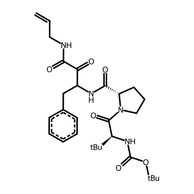 C=CCNC(=O)C(=O)C(Cc1ccccc1)NC(=O)[C@@H]1CCCN1C(=O)[C@@H](NC(=O)OC(C)(C)C)C(C)(C)C